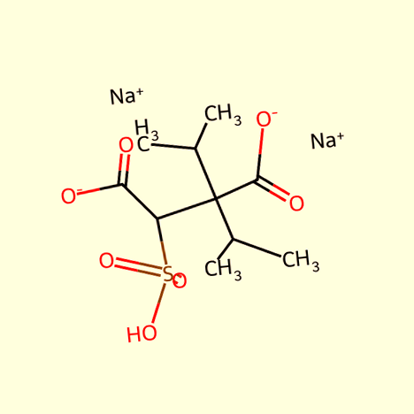 CC(C)C(C(=O)[O-])(C(C)C)C(C(=O)[O-])S(=O)(=O)O.[Na+].[Na+]